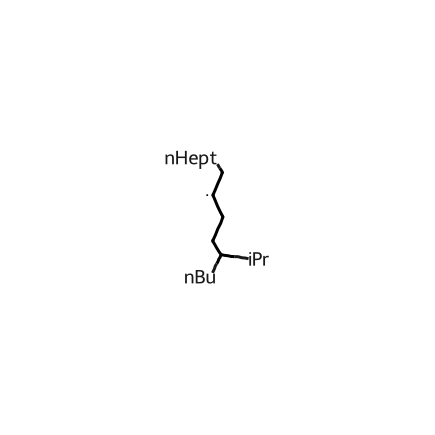 CCCCCCCC[CH]CCC(CCCC)C(C)C